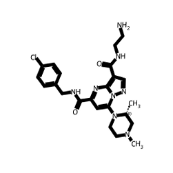 C[C@@H]1CN(C)CCN1c1cc(C(=O)NCc2ccc(Cl)cc2)nc2c(C(=O)NCCN)cnn12